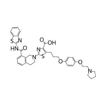 O=C(Nc1nc2ccccc2s1)c1cccc2c1CN(c1nc(C(=O)O)c(CCCOc3ccc(OCCN4CCCC4)cc3)s1)CC2